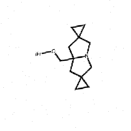 CC(C)OCC12CC3(CC3)CN1CC1(CC1)C2